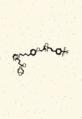 O=C(CCc1nccn1CCCCc1ccc(OCc2coc(C=Cc3ccc(C(F)(F)F)cc3)n2)cc1)N1CCOCC1